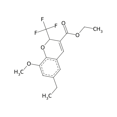 CCOC(=O)C1=Cc2cc(CC)cc(OC)c2OC1C(F)(F)F